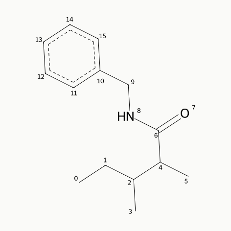 CCC(C)C(C)C(=O)NCc1ccccc1